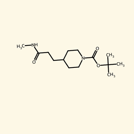 CNC(=O)CCC1CCN(C(=O)OC(C)(C)C)CC1